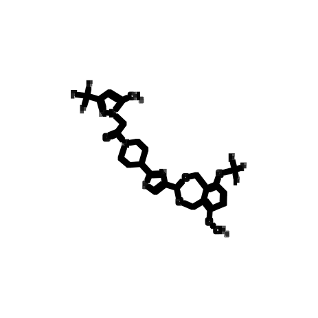 COc1ccc(OC(F)(F)F)c2c1COC(c1csc(C3CCN(C(=O)Cn4nc(C(F)(F)F)cc4C)CC3)n1)OC2